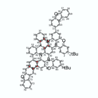 CC(C)(C)c1ccc2c(c1)Oc1cc(-c3ccc4oc5ccccc5c4c3)cc3c1B2c1cc2c(cc1N3c1ccccc1)N(c1c(-c3ccccc3)cccc1-c1ccccc1)c1cc(-c3ccc4oc5ccccc5c4c3)cc3c1B2c1ccc(C(C)(C)C)cc1O3